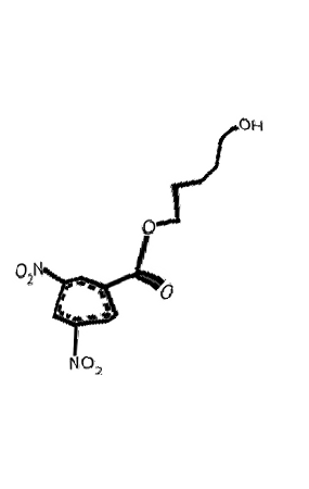 O=C(OCCCCO)c1cc([N+](=O)[O-])cc([N+](=O)[O-])c1